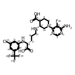 Nc1ncnc(N2CCC(C(=O)O)[C@@H](NCCC[C@@H](Nc3cc(Cl)cc(C(F)(F)F)c3)C(=O)O)C2)c1F